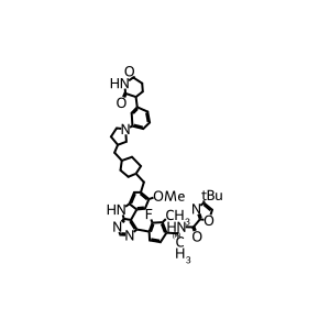 COc1cc2c(cc1CC1CCC(CC3CCN(c4cccc(C5CCC(=O)NC5=O)c4)C3)CC1)[nH]c1ncnc(-c3ccc([C@@H](C)NC(=O)c4nc(C(C)(C)C)co4)c(C)c3F)c12